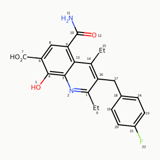 CCc1nc2c(O)c(C(=O)O)cc(C(N)=O)c2c(CC)c1Cc1ccc(F)cc1